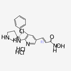 Cl.Cl.O=C(/C=C/c1cnc(N[C@]2(Cc3ccccc3)CCNC2)c(Cl)c1)NO